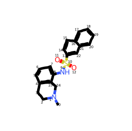 CN1CCc2cccc(NS(=O)(=O)c3ccc4ccccc4c3)c2C1